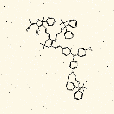 [C-]#[N+]C1=C(/C=C/C=C2\CC(C)(C)CC(/C=C/c3ccc(N(c4ccc(OC)cc4)c4ccc(N(CC)CCO[Si](c5ccccc5)(c5ccccc5)C(C)(C)C)cc4)cc3)=C2SCCO[Si](c2ccccc2)(c2ccccc2)C(C)(C)C)C(C)(c2ccccc2)O/C1=C(\C)C#N